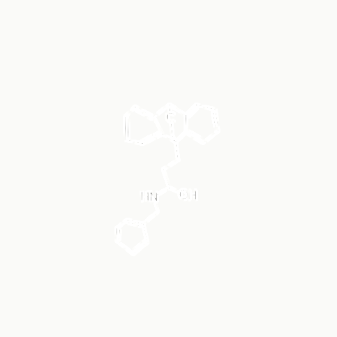 OC(CCC12CCC(c3ccccc31)c1ccccc12)NCc1ccccc1